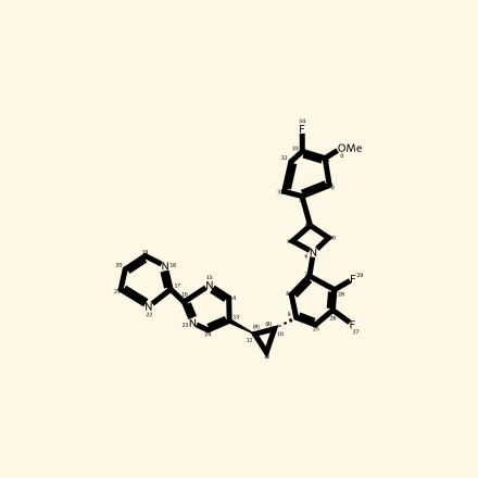 COc1cc(C2CN(c3cc([C@@H]4C[C@H]4c4cnc(-c5ncccn5)nc4)cc(F)c3F)C2)ccc1F